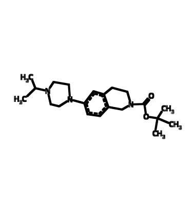 CC(C)N1CCN(c2ccc3c(c2)CCN(C(=O)OC(C)(C)C)C3)CC1